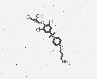 CC(C)(c1ccc(OCCCN)cc1)c1cc(Cl)c(OC[C@@H](O)CCl)c(Cl)c1